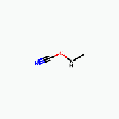 CBOC#N